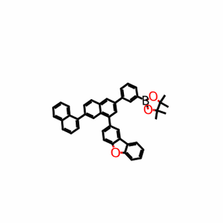 CC1(C)OB(c2cccc(-c3cc(-c4ccc5oc6ccccc6c5c4)c4cc(-c5cccc6ccccc56)ccc4c3)c2)OC1(C)C